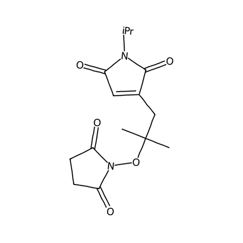 CC(C)N1C(=O)C=C(CC(C)(C)ON2C(=O)CCC2=O)C1=O